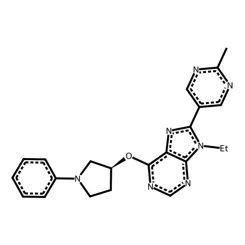 CCn1c(-c2cnc(C)nc2)nc2c(O[C@H]3CCN(c4ccccc4)C3)ncnc21